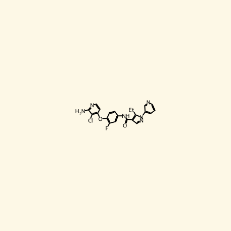 CCc1c(C(=O)Nc2ccc(Oc3ccnc(N)c3Cl)c(F)c2)cnn1-c1cccnc1